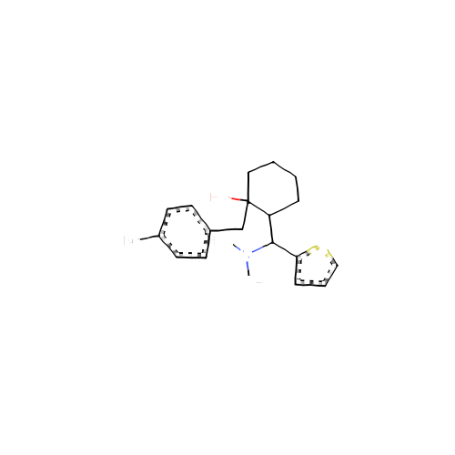 CN(C)C(c1cccs1)C1CCCCC1(O)Cc1ccc(C(C)(C)C)cc1